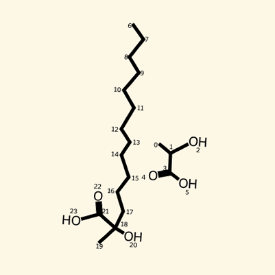 CC(O)C(=O)O.CCCCCCCCCCCCC(C)(O)C(=O)O